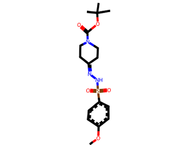 COc1ccc(S(=O)(=O)NN=C2CCN(C(=O)OC(C)(C)C)CC2)cc1